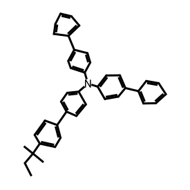 CCC(C)(C)c1ccc(-c2ccc(N(c3ccc(-c4ccccc4)cc3)c3ccc(-c4ccccc4)cc3)cc2)cc1